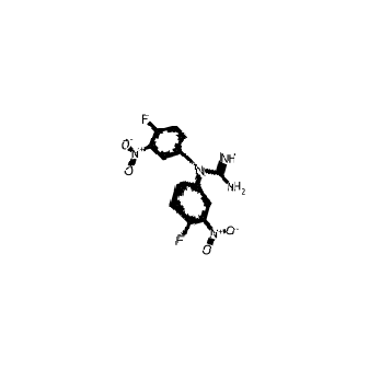 N=C(N)N(c1ccc(F)c([N+](=O)[O-])c1)c1ccc(F)c([N+](=O)[O-])c1